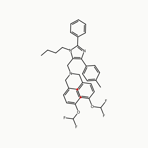 CCCCn1c(-c2ccccc2)nc(-c2ccc(C)cc2)c1CN(Cc1ccc(OC(F)F)cc1)Cc1ccc(OC(F)F)cc1